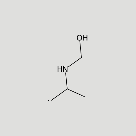 [CH2]C(C)NCO